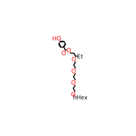 CCCCCCOCCCOCCCOCCCOC(CC)CCOC(=O)c1ccc(O)cc1